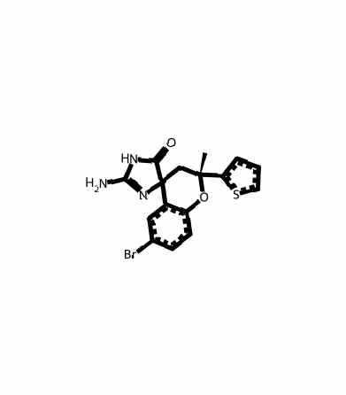 C[C@]1(c2cccs2)CC2(N=C(N)NC2=O)c2cc(Br)ccc2O1